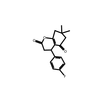 CC1(C)CC(=O)C2=C(C1)OC(=O)CC2c1ccc(F)cc1